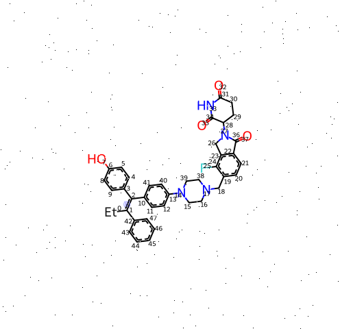 CC/C(=C(\c1ccc(O)cc1)c1ccc(N2CCN(Cc3ccc4c(c3F)CN(C3CCC(=O)NC3=O)C4=O)CC2)cc1)c1ccccc1